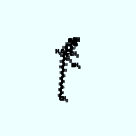 CCCCCCCCCCCCCCCCC(C)(C)c1ccc(S(=O)(=O)O)cc1C.N